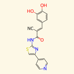 N#C/C(=C\c1ccc(O)c(O)c1)C(=O)Nc1nc(-c2ccncc2)cs1